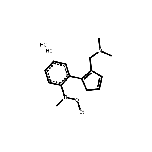 CC[O][Ti]([CH3])[c]1ccccc1C1=C(CN(C)C)C=CC1.Cl.Cl